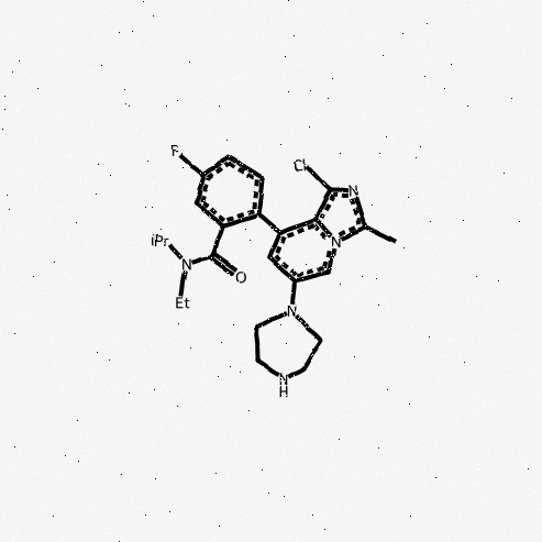 CCN(C(=O)c1cc(F)ccc1-c1cc(N2CCNCC2)cn2c(C)nc(Cl)c12)C(C)C